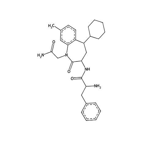 Cc1ccc2c(c1)N(CC(N)=O)C(=O)C(NC(=O)C(N)Cc1ccccc1)CC2C1CCCCC1